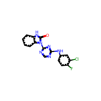 O=c1[nH]c2ccccc2n1-c1ncnc(Nc2ccc(F)c(Cl)c2)n1